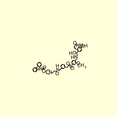 COc1cc(N(Cl)C(=O)Cc2cccc(CNC(=O)CCN3CCC(OC(=O)Nc4ccccc4-c4ccccc4)CC3)c2)ccc1CNCC(O)c1ccc(O)c2[nH]c(=O)ccc12